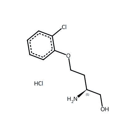 Cl.N[C@H](CO)CCOc1ccccc1Cl